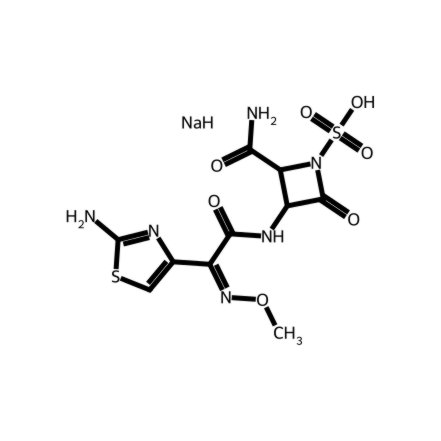 CO/N=C(\C(=O)NC1C(=O)N(S(=O)(=O)O)C1C(N)=O)c1csc(N)n1.[NaH]